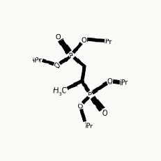 CC(C)OP(=O)(CC(C)P(=O)(OC(C)C)OC(C)C)OC(C)C